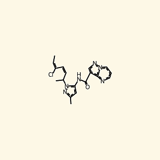 C/C=C(Cl)\C=C/C(C)n1nc(C)cc1NC(=O)c1cnn2cccnc12